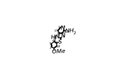 COc1ccc(I)c(Sc2nc3c(N)nccc3[nH]2)c1